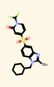 CC(C)(C)c1nc2cc(S(=O)(=O)c3ccn(C(F)F)c(=O)c3)ccc2n1CC1CCCCC1